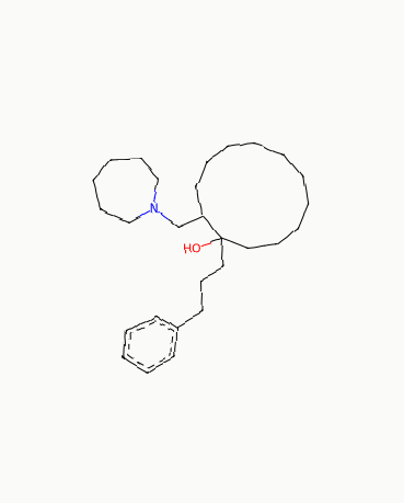 OC1(CCCc2ccccc2)CCCCCCCCCCC1CN1CCCCCC1